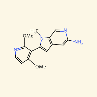 COc1ccnc(OC)c1-c1cc2cc(N)ncc2n1C